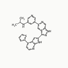 CC(C)Nc1cncc(-c2cc3c(-c4cc5c(-c6cccs6)ccnc5[nH]4)n[nH]c3cn2)c1